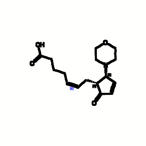 O=C(O)CCC/C=C\C[C@H]1C(=O)C=C[C@@H]1N1CCOCC1